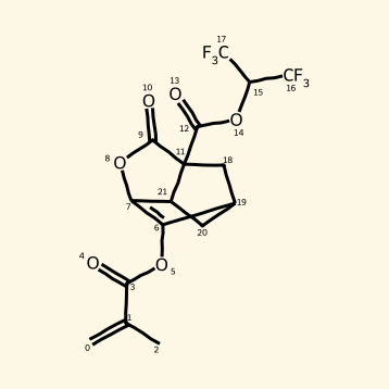 C=C(C)C(=O)OC1=C2OC(=O)C3(C(=O)OC(C(F)(F)F)C(F)(F)F)CC1CC23